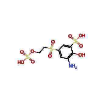 Nc1cc(S(=O)(=O)CCOS(=O)(=O)O)cc(S(=O)(=O)O)c1O